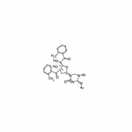 CC(=O)N=C1NC(=O)N([C@H]2C[C@@](O)(C(=O)c3ccccc3C)[C@@H](C(O)C(=O)c3ccccc3C)O2)CN1C(C)C